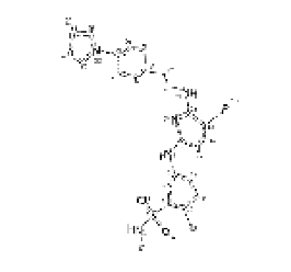 CNS(=O)(=O)c1cc(Nc2ncc(F)c(NCCc3ccc(-n4ccnc4)cc3)n2)ccc1C